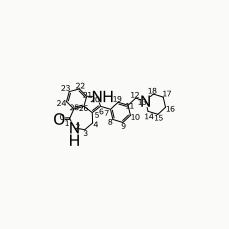 O=C1NCCc2c(-c3cccc(CN4CCCCC4)c3)[nH]c3cccc1c23